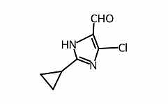 O=Cc1[nH]c(C2CC2)nc1Cl